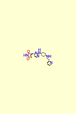 O=C1NC(=O)/C(=C/c2ccnc(N[C@H]3CC[C@@H](NCCc4ccccn4)CC3)n2)S1